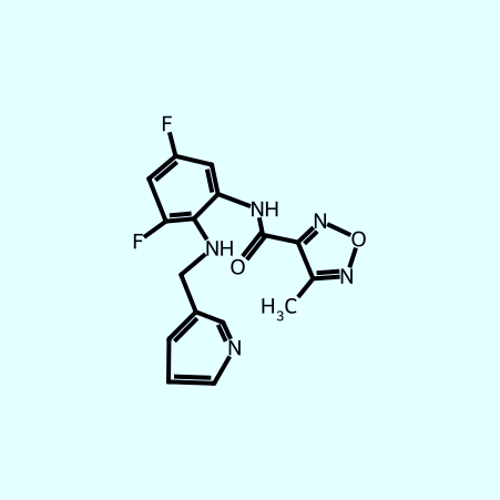 Cc1nonc1C(=O)Nc1cc(F)cc(F)c1NCc1cccnc1